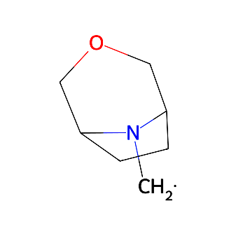 [CH2]N1C2CCC1COC2